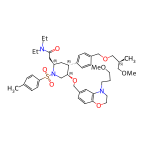 CCN(CC)C(=O)C[C@H]1C[C@H](c2ccc(COC[C@@H](C)COC)cc2)[C@@H](OCc2ccc3c(c2)N(CCCOC)CCO3)CN1S(=O)(=O)c1ccc(C)cc1